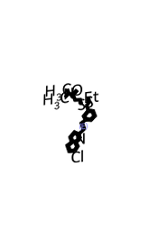 CCSC(SCCC(=O)N(C)C)c1cccc(/C=C/c2ccc3ccc(Cl)cc3n2)c1